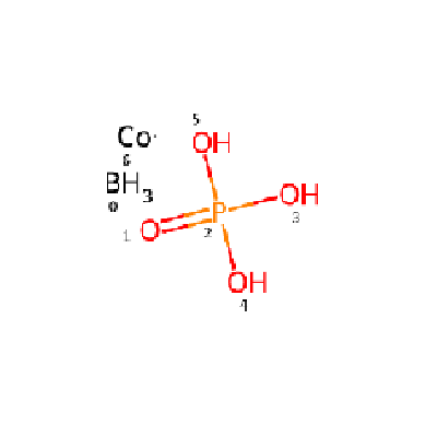 B.O=P(O)(O)O.[Co]